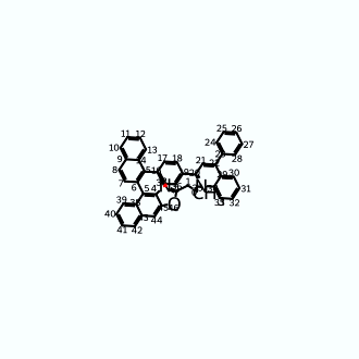 CCc1nc2c(-c3ccc4ccccc4c3-c3ccc(-c4cc(-c5ccccc5)c5ccccc5n4)cc3)c3ccccc3cc2o1